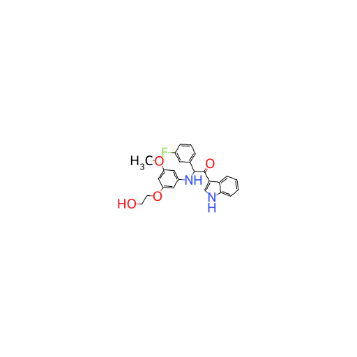 COc1cc(NC(C(=O)c2c[nH]c3ccccc23)c2cccc(F)c2)cc(OCCO)c1